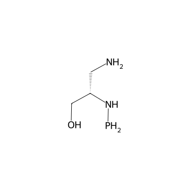 NC[C@@H](CO)NP